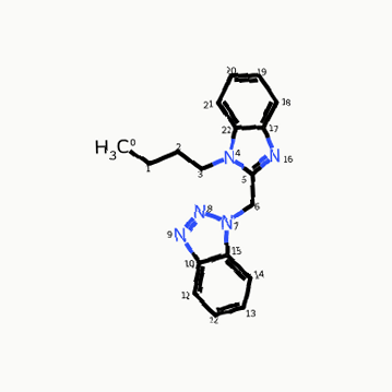 CCCCn1c(Cn2nnc3ccccc32)nc2ccccc21